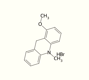 Br.COc1cccc2c1Cc1ccccc1N2C